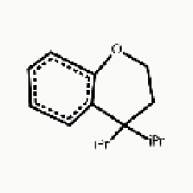 CC(C)C1(C(C)C)CCOc2ccccc21